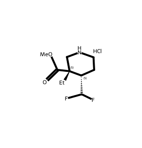 CC[C@@]1(C(=O)OC)CNCC[C@@H]1C(F)F.Cl